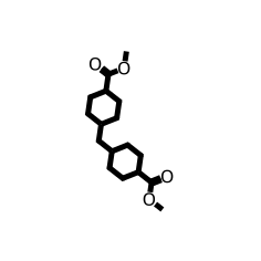 COC(=O)C1CCC(CC2CCC(C(=O)OC)CC2)CC1